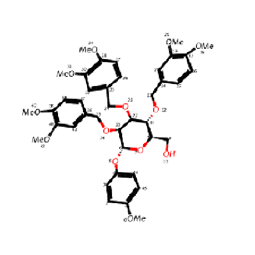 COc1ccc(O[C@H]2O[C@H](CO)[C@@H](OCc3ccc(OC)c(OC)c3)[C@H](OCc3ccc(OC)c(OC)c3)[C@@H]2OCc2ccc(OC)c(OC)c2)cc1